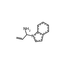 C=CC(N)n1ccc2ccccc21